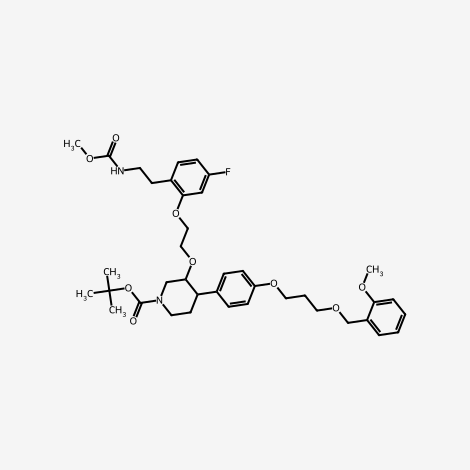 COC(=O)NCCc1ccc(F)cc1OCCOC1CN(C(=O)OC(C)(C)C)CCC1c1ccc(OCCCOCc2ccccc2OC)cc1